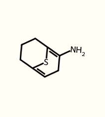 NC1=C2CCCC(=CC1)S2